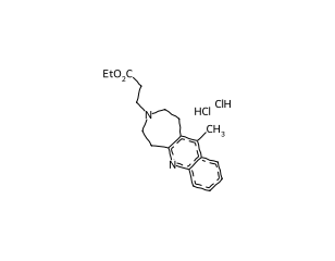 CCOC(=O)CCN1CCc2nc3ccccc3c(C)c2CC1.Cl.Cl